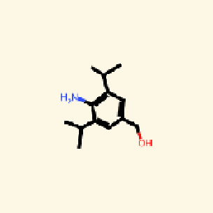 CC(C)c1cc(CO)cc(C(C)C)c1N